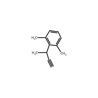 [C]#CC(C)c1c(C)cccc1C